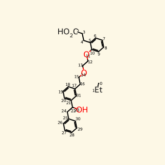 CCC.O=C(O)CCc1ccccc1OCCOCCc1cccc(C(O)Cc2ccccc2)c1